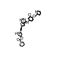 O=C(O[C@H]1CN[C@H](C#Cc2cc3c(Nc4ccc(OCc5ccccn5)c(Cl)c4)ncnc3s2)C1)N1CCCCC1